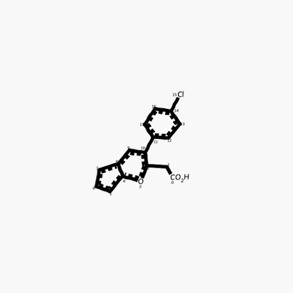 O=C(O)Cc1oc2cccc-2cc1-c1ccc(Cl)cc1